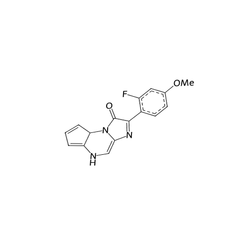 COc1ccc(C2=NC3=CNC4=CC=CC4N3C2=O)c(F)c1